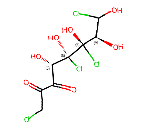 O=C(CCl)C(=O)[C@H](O)[C@](O)(Cl)[C@@](O)(Cl)[C@H](O)C(O)Cl